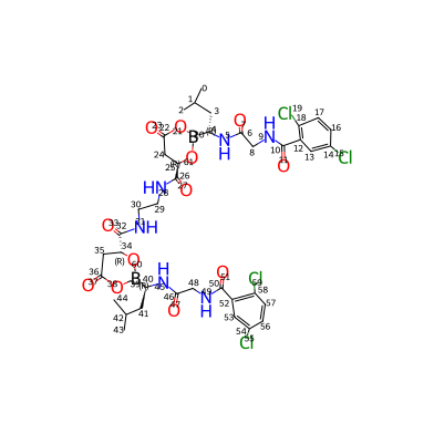 CC(C)C[C@H](NC(=O)CNC(=O)c1cc(Cl)ccc1Cl)B1OC(=O)C[C@H](C(=O)NCCNC(=O)[C@H]2CC(=O)OB([C@H](CC(C)C)NC(=O)CNC(=O)c3cc(Cl)ccc3Cl)O2)O1